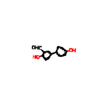 O=Cc1cc(-c2ccc(O)cc2)ccc1O